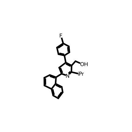 CC(C)c1nc(-c2cccc3ccccc23)cc(-c2ccc(F)cc2)c1CO